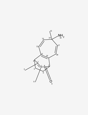 CC1=C(C)C2CCC(C1=O)C1=C2C=CC(C)(N)C=C1